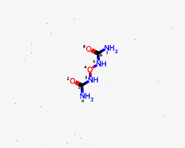 NC(=O)NONC(N)=O